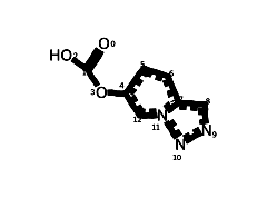 O=C(O)Oc1ccc2cnnn2c1